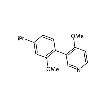 COc1cc(C(C)C)ccc1-c1cnccc1OC